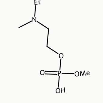 CCN(C)CCOP(=O)(O)OC